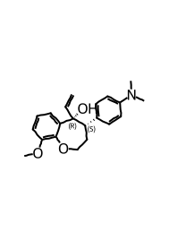 C=C[C@]1(O)c2cccc(OC)c2OCC[C@H]1c1ccc(N(C)C)cc1